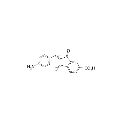 Nc1ccc(/C=C2\C(=O)c3ccc(C(=O)O)cc3C2=O)cc1